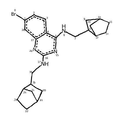 Brc1ccc2c(NCC3CC4CCC3C4)nc(NCC3CC4CCC3C4)nc2c1